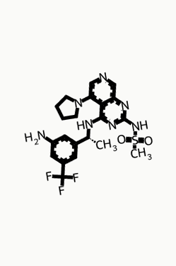 C[C@@H](Nc1nc(NS(C)(=O)=O)nc2cncc(N3CCCC3)c12)c1cc(N)cc(C(F)(F)F)c1